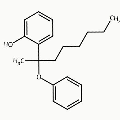 CCCCCCC(C)(Oc1ccccc1)c1ccccc1O